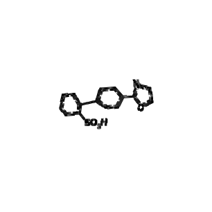 O=S(=O)(O)c1ccccc1-c1ccc(-c2ncco2)cc1